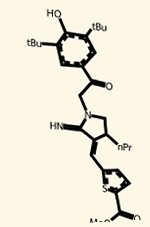 CCCC1CN(CC(=O)c2cc(C(C)(C)C)c(O)c(C(C)(C)C)c2)C(=N)/C1=C/c1ccc(C(=O)OC)s1